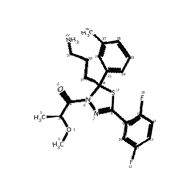 CO[C@@H](C)C(=O)N1N=C(c2cc(F)ccc2F)SC1(CCCN)c1cccc(C)c1